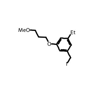 CCc1cc(CI)cc(OCCCOC)c1